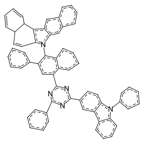 C1=CC2C=Cc3c(c4cc5ccccc5cc4n3-c3c(-c4ccccc4)cc(-c4nc(-c5ccccc5)nc(-c5ccc6c(c5)c5ccccc5n6-c5ccccc5)n4)c4ccccc34)C2C=C1